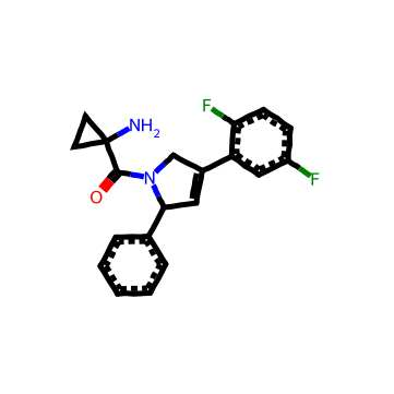 NC1(C(=O)N2CC(c3cc(F)ccc3F)=CC2c2ccccc2)CC1